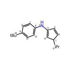 CC(C)C1C=CC(Nc2ccc(C(C)(C)C)cc2)=C1